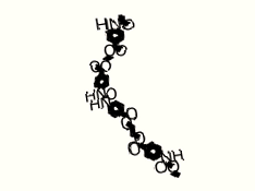 CCOC(=O)Nc1ccc(C(=O)OCCOC(=O)c2ccc(NC(=O)Nc3ccc(C(=O)OCCOC(=O)c4ccc(NC(C)=O)cc4)cc3)cc2)cc1